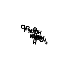 Cc1cc(Nc2cncc(CC3(C(=O)O)CCN(Cc4cccc(Cl)c4F)CC3)n2)n[nH]1